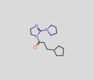 O=C(CCC1CCCC1)N1CCN=C1N1CCCC1